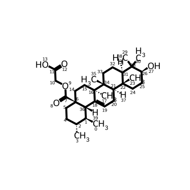 C[C@H]1[C@H](C)CC[C@]2(C(=O)OCC(=O)O)CC[C@]3(C)C(=CC[C@@H]4[C@@]5(C)CC[C@H](O)C(C)(C)[C@@H]5CC[C@]43C)[C@H]12